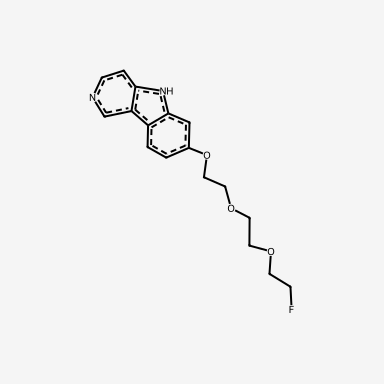 FCCOCCOCCOc1ccc2c(c1)[nH]c1ccncc12